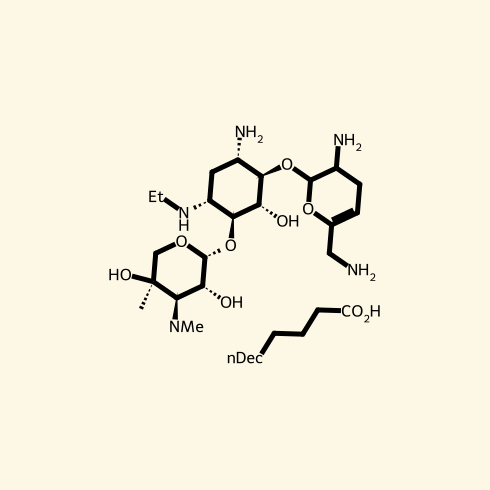 CCCCCCCCCCCCCC(=O)O.CCN[C@@H]1C[C@H](N)[C@@H](OC2OC(CN)=CCC2N)[C@H](O)[C@H]1O[C@H]1OC[C@](C)(O)[C@H](NC)[C@H]1O